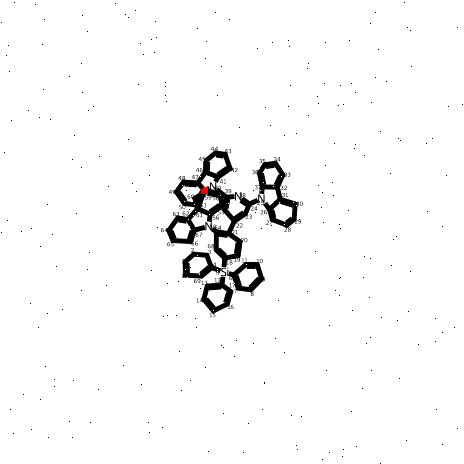 C1=CCCC([Si](c2ccccc2)(c2ccccc2)c2ccc(-c3cc(-n4c5ccccc5c5ccccc54)nc(-n4c5ccccc5c5ccccc54)c3)c(-n3c4ccccc4c4ccccc43)c2)=C1